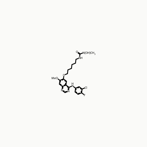 COc1cc2ncnc(Nc3ccc(F)c(Cl)c3)c2cc1OCCCCCCNC(=O)N(C)O